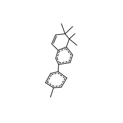 Cc1ccc(-c2ccc3c(c2)C=CC(C)(C)C3(C)C)cc1